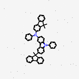 CC1(C)c2ccccc2-c2ccc(N(c3ccccc3)c3ccc4c(c3)c3cc(C5(C)c6ccccc6-c6ccccc65)ccc3n4-c3ccccc3)cc21